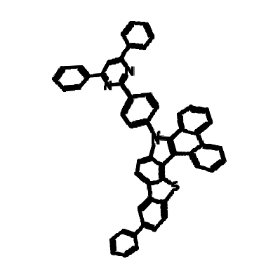 c1ccc(-c2ccc3sc4c(ccc5c4c4c6ccccc6c6ccccc6c4n5-c4ccc(-c5nc(-c6ccccc6)cc(-c6ccccc6)n5)cc4)c3c2)cc1